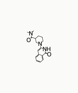 CN(C)C(=O)C1CCCN(c2cc3ccccc3c(=O)[nH]2)C1